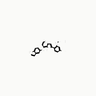 Cc1ccc(-c2cc3nccc(Nc4ccc5[nH]ccc5c4)c3s2)c(NS(=O)(=O)O)c1